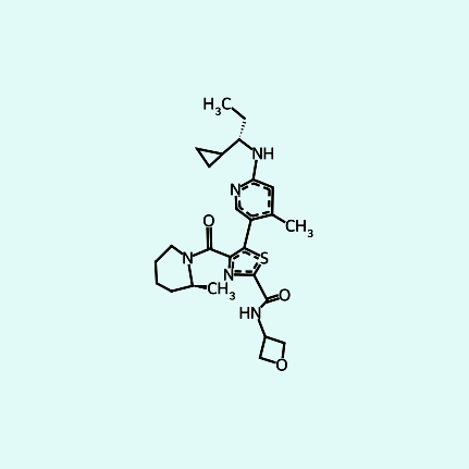 CC[C@H](Nc1cc(C)c(-c2sc(C(=O)NC3COC3)nc2C(=O)N2CCCC[C@@H]2C)cn1)C1CC1